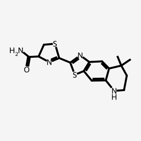 CC1(C)CCNc2cc3sc(C4=NC(C(N)=O)CS4)nc3cc21